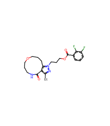 CCc1nn(CCCOC(=O)c2cccc(F)c2F)c2c1C(=O)NCCCOCCC2